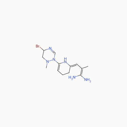 CC(/C=C1\CCC=C(N2C=NC(Br)CN2C)N1)=C(N)N